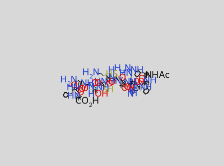 CC(=O)N[C@H](Cc1ccccc1)C(=O)N[C@H](Cc1ccccc1)C(=O)N[C@H](Cc1cnc[nH]1)C(=O)N[C@H](CCCNC(=N)N)C(=O)N[C@@H](C(=O)N[C@H](CS)C(=O)N[C@H](CCCCN)C(=O)N[C@H](CS)C(=O)NC(C(=O)NCC(=O)N[C@H](CC(N)=O)C(=O)N[C@H](CCc1ccccc1)C(=O)N[C@@H](C)C(=O)O)[C@@H](C)O)[C@H](C)O